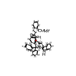 COc1ccccc1CCC(=O)NC[C@@H](Cc1c[nH]c2ccccc12)NC(c1ccccc1)(c1ccccc1)c1ccccc1